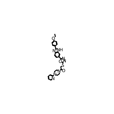 CCOc1ccc(-c2nc3ccc(-c4nnc(SCC(=O)N5CCN(c6ccccn6)CC5)o4)cc3[nH]2)cc1